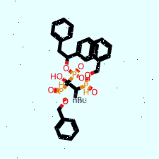 CCCCC([PH](=O)OCc1ccccc1)C(O)([PH](=O)OCc1ccccc1)P(=O)(O)OC(Cc1ccccc1)c1ccccc1